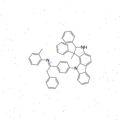 Cc1ccccc1/N=C(\Cc1ccccc1)c1ccc(-n2c3ccccc3c3ccc4c(c32)C(C)(c2ccccc2)C(c2ccccc2)N4)cc1